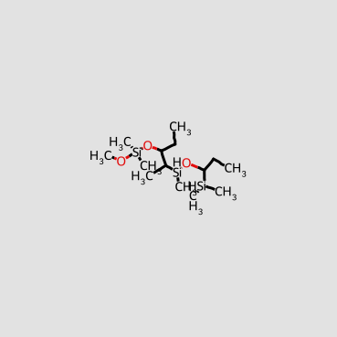 CCC(O[Si](C)(C)OC)C(C)[SiH](C)OC(CC)[SiH](C)C